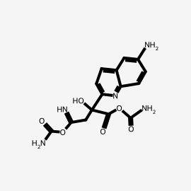 N=C(CC(O)(C(=O)OC(N)=O)c1ccc2cc(N)ccc2n1)OC(N)=O